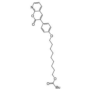 CCC(C)C(=O)OCCCCCCCCCOc1ccc(-c2cc3cccnc3oc2=O)cc1